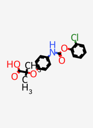 CC(C)(Oc1ccc(NC(=O)Oc2ccccc2Cl)cc1)C(=O)O